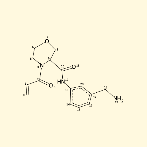 C=CC(=O)N1CCOCC1C(=O)Nc1cccc(CN)c1